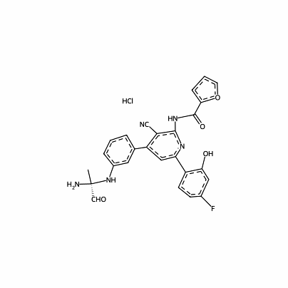 C[C@@](N)(C=O)Nc1cccc(-c2cc(-c3ccc(F)cc3O)nc(NC(=O)c3ccco3)c2C#N)c1.Cl